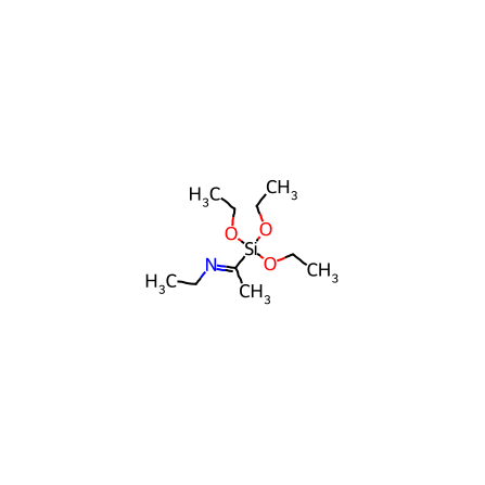 CC/N=C(\C)[Si](OCC)(OCC)OCC